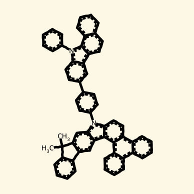 CC1(C)c2ccccc2-c2cc3c4c5c6ccccc6c6ccccc6c5ccc4n(-c4ccc(-c5ccc6c(c5)c5ccc7ccccc7c5n6-c5ccccc5)cc4)c3cc21